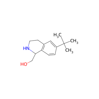 CC(C)(C)c1ccc2c(c1)CCNC2CO